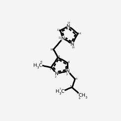 Cc1nn(CC(C)C)cc1Cn1cncn1